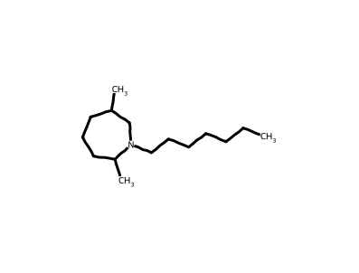 CCCCCCCN1CC(C)CCCC1C